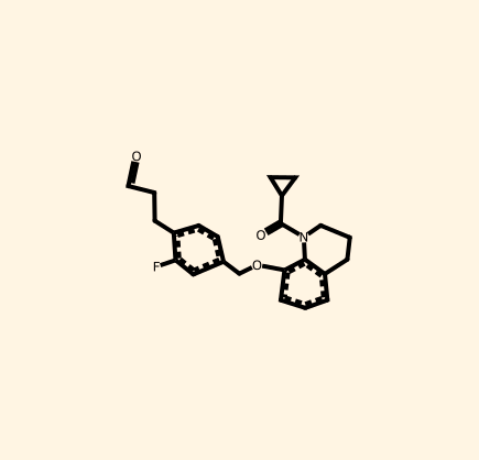 O=CCCc1ccc(COc2cccc3c2N(C(=O)C2CC2)CCC3)cc1F